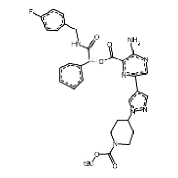 CC(C)(C)OC(=O)N1CCC(n2cc(-c3cnc(N)c(C(=O)O[C@@H](C(=O)NCc4ccc(F)cc4)c4ccccc4)n3)cn2)CC1